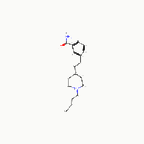 CCCCN1CCC(CCc2cccc(C(N)=O)c2)CC1